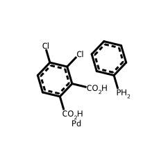 O=C(O)c1ccc(Cl)c(Cl)c1C(=O)O.Pc1ccccc1.[Pd]